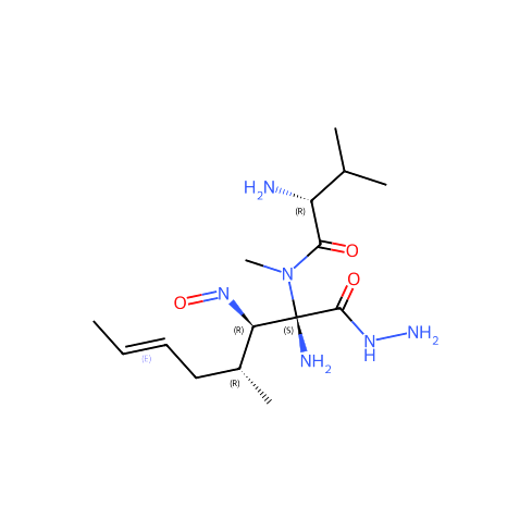 C/C=C/C[C@@H](C)[C@@H](N=O)[C@@](N)(C(=O)NN)N(C)C(=O)[C@H](N)C(C)C